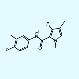 Cc1cc(NC(=O)c2c(F)c(C)cn2C)ccc1F